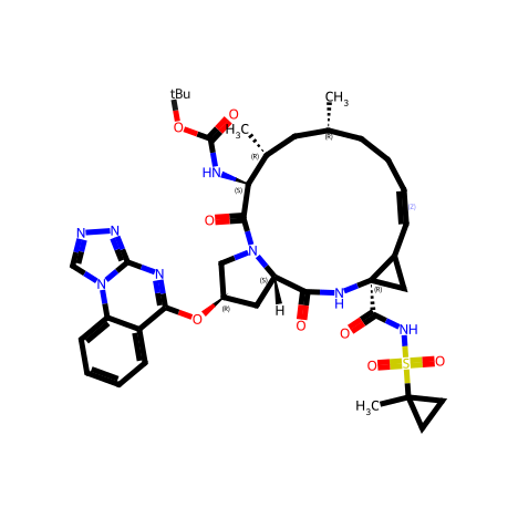 C[C@@H]1CC/C=C\C2C[C@@]2(C(=O)NS(=O)(=O)C2(C)CC2)NC(=O)[C@@H]2C[C@@H](Oc3nc4nncn4c4ccccc34)CN2C(=O)[C@@H](NC(=O)OC(C)(C)C)[C@H](C)C1